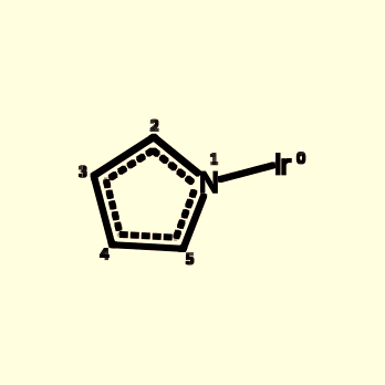 [Ir][n]1cccc1